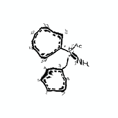 CC(=O)[SH](=N)(c1ccccc1)c1ccccc1